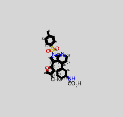 Cc1ccc(S(=O)(=O)n2cc(-c3cc(C=O)co3)c3c(C4=CCCC(NC(=O)O)C4)ccnc32)cc1